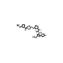 Cc1ccc(-n2nc(C(C)(C)C)cc2NC(=O)Nc2cccc(CCC3CCN(C(=O)c4cccc(C(C)C#N)c4)CC3)c2)cc1